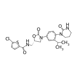 CC(C)c1cc(N2C[C@H](CNC(=O)c3ccc(Cl)s3)OC2=O)ccc1N1CCCNC1=O